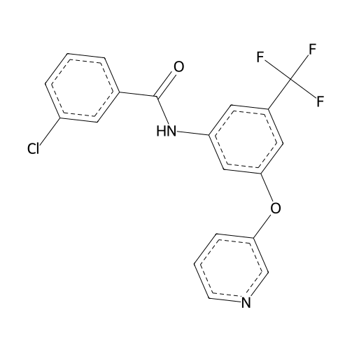 O=C(Nc1cc(Oc2cccnc2)cc(C(F)(F)F)c1)c1cccc(Cl)c1